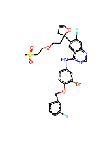 CS(=O)(=O)CCOCCC1(c2cc3c(Nc4ccc(OCc5cccc(F)c5)c(Br)c4)ncnc3cc2F)CC=CO1